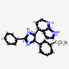 O=C(O)c1cccc(-c2nc(-c3ccccc3)[nH]c2-c2ccnc3[nH]ccc23)c1